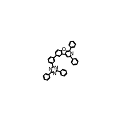 c1ccc(-c2cc3c(oc4ccc(-c5cccc(-c6nc(-c7ccccc7)nc(-c7ccccc7)n6)c5)cc43)c(-c3ccccc3)n2)cc1